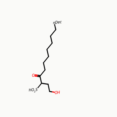 CCCCCCCCCCCCCCCCCC(=O)C(CCO)S(=O)(=O)O